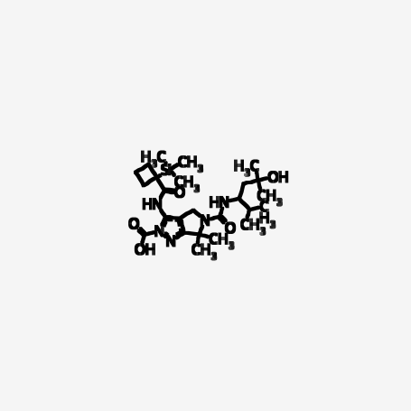 CC(C)C(CC(C)(C)O)NC(=O)N1Cc2c(nn(C(=O)O)c2NC(=O)C2([Si](C)(C)C)CCC2)C1(C)C